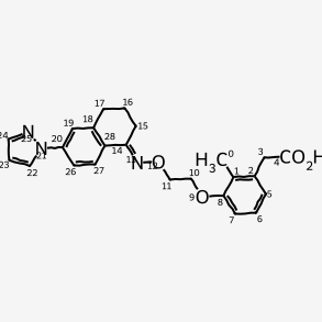 Cc1c(CC(=O)O)cccc1OCCON=C1CCCc2cc(-n3cccn3)ccc21